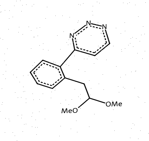 COC(Cc1ccccc1-c1ccnnn1)OC